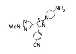 CNc1ncc(-c2sc(N3CCC(N)CC3)nc2-c2ccc(C#N)cc2)cn1